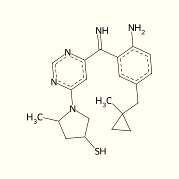 CC1CC(S)CN1c1cc(C(=N)c2cc(CC3(C)CC3)ccc2N)ncn1